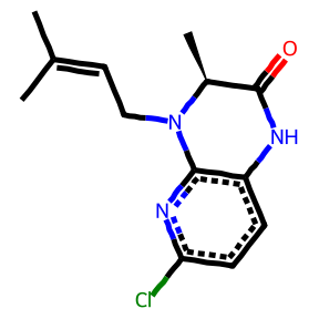 CC(C)=CCN1c2nc(Cl)ccc2NC(=O)[C@@H]1C